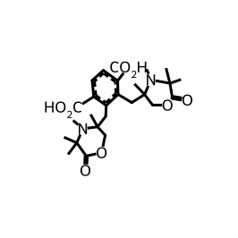 CN1C(C)(Cc2c(C(=O)O)ccc(C(=O)O)c2CC2(C)COC(=O)C(C)(C)N2C)COC(=O)C1(C)C